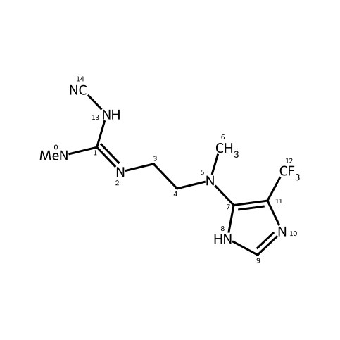 CNC(=NCCN(C)c1[nH]cnc1C(F)(F)F)NC#N